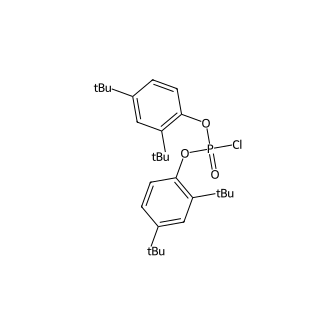 CC(C)(C)c1ccc(OP(=O)(Cl)Oc2ccc(C(C)(C)C)cc2C(C)(C)C)c(C(C)(C)C)c1